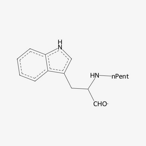 CCCCCNC([C]=O)Cc1c[nH]c2ccccc12